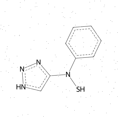 SN(c1ccccc1)c1c[nH]nn1